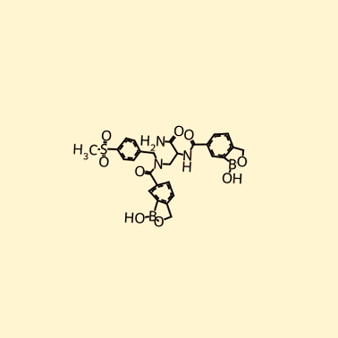 CS(=O)(=O)c1ccc(CN(CC(NC(=O)c2ccc3c(c2)B(O)OC3)C(N)=O)C(=O)c2ccc3c(c2)B(O)OC3)cc1